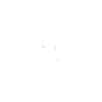 c1ccc2c(c1)B1N(c3ccoc3-2)c2cccc3c4ccccc4n1c23